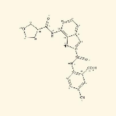 N#Cc1ccc(NC(=O)c2cc3cccc(NC(=O)C4CCOC4)c3[nH]2)c(C(=O)O)c1